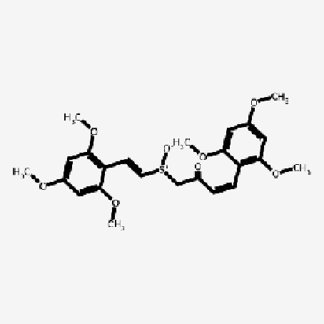 COc1cc(OC)c(/C=C\C(=O)C[S+]([O-])/C=C/c2c(OC)cc(OC)cc2OC)c(OC)c1